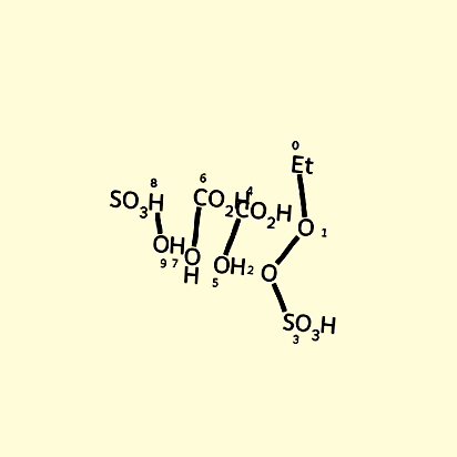 CCOOS(=O)(=O)O.O=C(O)O.O=C(O)O.O=S(=O)(O)O